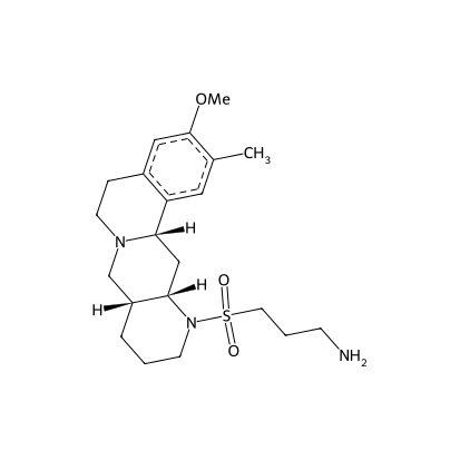 COc1cc2c(cc1C)[C@@H]1C[C@H]3[C@H](CCCN3S(=O)(=O)CCCN)CN1CC2